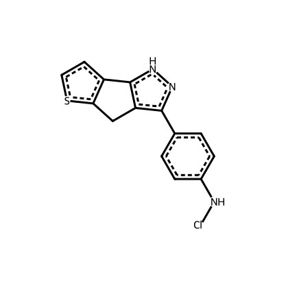 ClNc1ccc(-c2n[nH]c3c2Cc2sccc2-3)cc1